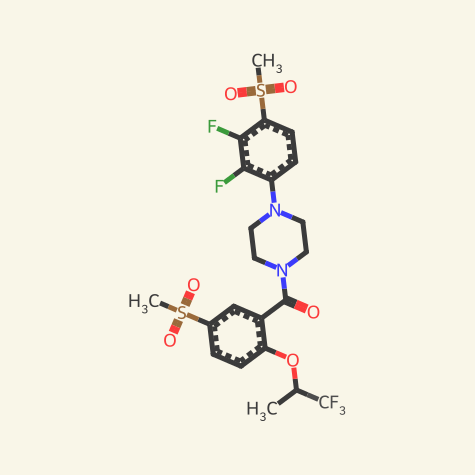 CC(Oc1ccc(S(C)(=O)=O)cc1C(=O)N1CCN(c2ccc(S(C)(=O)=O)c(F)c2F)CC1)C(F)(F)F